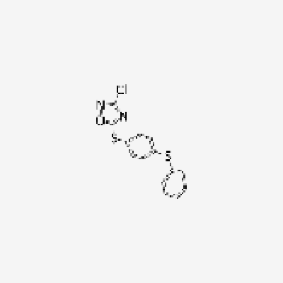 Clc1noc(Sc2ccc(Sc3ccccc3)cc2)n1